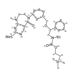 CCN(CC(OCc1cccc(N2CCN(C)c3nc(SC)ncc3C2=O)c1)c1ccccc1)C(=O)OCC[Si](C)(C)C